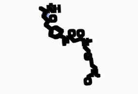 CN/C(C)=C\C(=O)Cc1ccc(N(C)C(=O)CC(=O)N(C)CCOCCCN(C)C=O)cc1